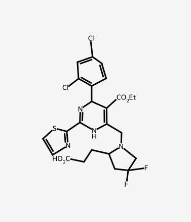 CCOC(=O)C1=C(CN2CC(F)(F)CC2CCC(=O)O)NC(c2nccs2)=NC1c1ccc(Cl)cc1Cl